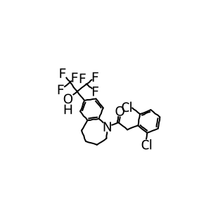 O=C(Cc1c(Cl)cccc1Cl)N1CCCCc2cc(C(O)(C(F)(F)F)C(F)(F)F)ccc21